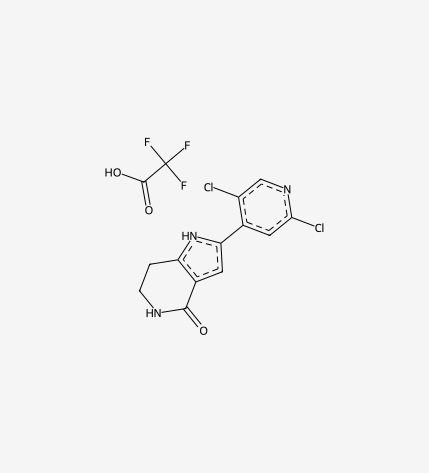 O=C(O)C(F)(F)F.O=C1NCCc2[nH]c(-c3cc(Cl)ncc3Cl)cc21